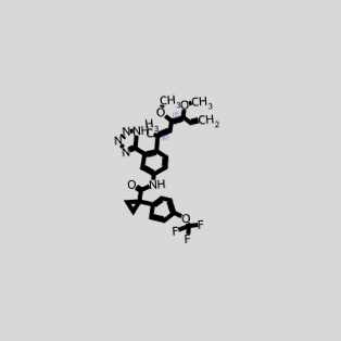 C=C/C(OC)=C(\C=C(/C)c1ccc(NC(=O)C2(c3ccc(OC(F)(F)F)cc3)CC2)cc1-c1nnn[nH]1)OC